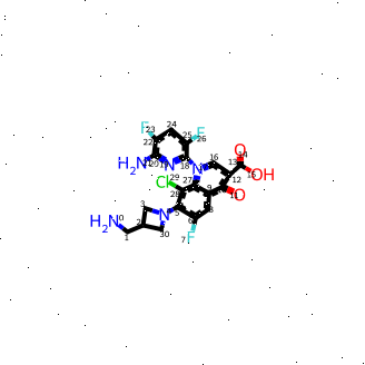 NCC1CN(c2c(F)cc3c(=O)c(C(=O)O)cn(-c4nc(N)c(F)cc4F)c3c2Cl)C1